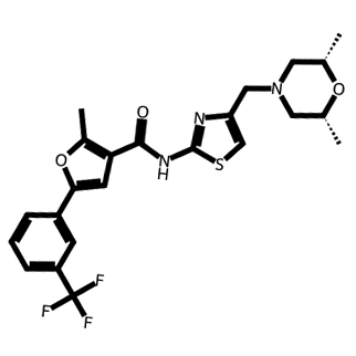 Cc1oc(-c2cccc(C(F)(F)F)c2)cc1C(=O)Nc1nc(CN2C[C@@H](C)O[C@@H](C)C2)cs1